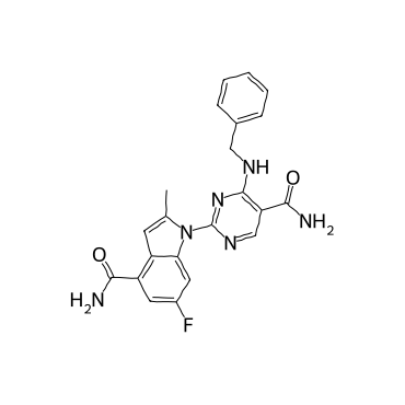 Cc1cc2c(C(N)=O)cc(F)cc2n1-c1ncc(C(N)=O)c(NCc2ccccc2)n1